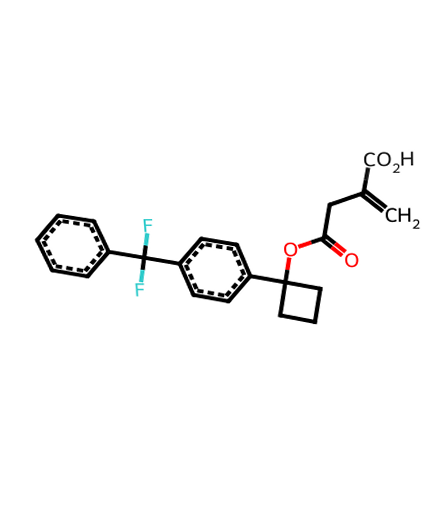 C=C(CC(=O)OC1(c2ccc(C(F)(F)c3ccccc3)cc2)CCC1)C(=O)O